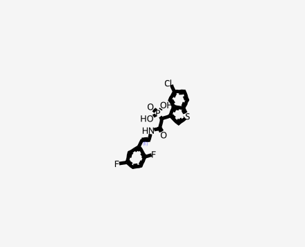 O=C(N/C=C/c1cc(F)ccc1F)C(c1csc2ccc(Cl)cc12)P(=O)(O)O